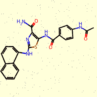 CC(=O)Nc1ccc(C(=O)Nc2sc(Nc3cccc4ccccc34)nc2C(N)=O)cc1